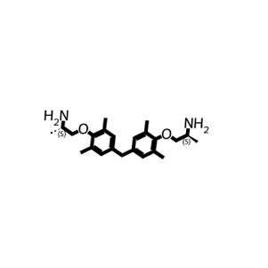 Cc1cc(Cc2cc(C)c(OC[C@H](C)N)c(C)c2)cc(C)c1OC[C@H](C)N